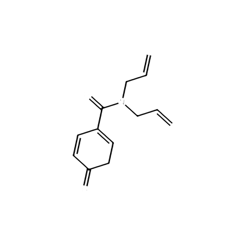 C=CCN(CC=C)C(=O)C1=CCC(=O)C=C1